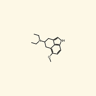 CCN(CC)C1Cc2c[nH]c3ccc(OC)c(c23)C1